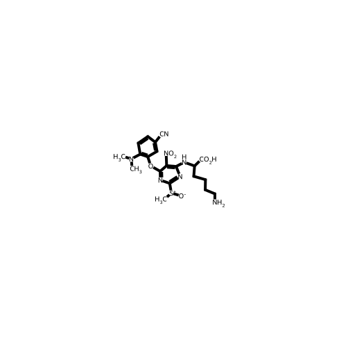 CN(C)c1ccc(C#N)cc1Oc1nc([S+](C)[O-])nc(NC(CCCCN)C(=O)O)c1[N+](=O)[O-]